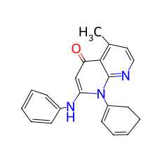 Cc1ccnc2c1c(=O)cc(Nc1ccccc1)n2C1=CC=CCC1